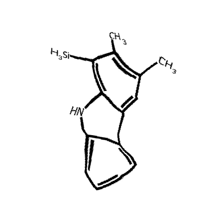 Cc1cc2c([nH]c3ccccc32)c([SiH3])c1C